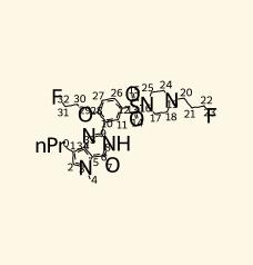 CCCc1cn(C)c2c(=O)[nH]c(-c3cc(S(=O)(=O)N4CCN(CCCF)CC4)ccc3OCCF)nc12